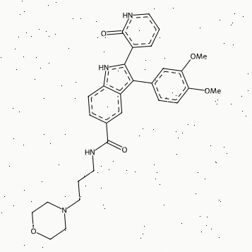 COc1ccc(-c2c(-c3ccc[nH]c3=O)[nH]c3ccc(C(=O)NCCCN4CCOCC4)cc23)cc1OC